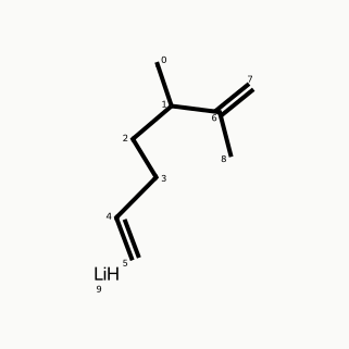 [CH2]C(CCC=C)C(=C)C.[LiH]